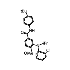 COc1ccc(C(=O)Nc2ccc(C(C)(C)C)cc2)cc1N(c1ncccc1Cl)C(C)C